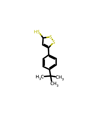 CC(C)(C)c1ccc(C2=CC(S)SS2)cc1